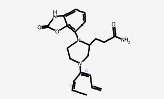 C=C/C=C(\C=C/C)N1CCN(c2cccc3[nH]c(=O)oc23)C(CCC(N)=O)C1